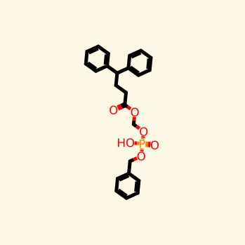 O=C(CCC(c1ccccc1)c1ccccc1)OCOP(=O)(O)OCc1ccccc1